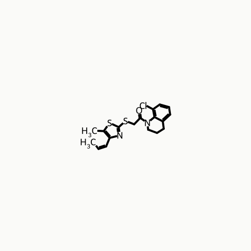 C/C=C\c1nc(SCC(=O)N2CCCc3cccc(Cl)c32)sc1C